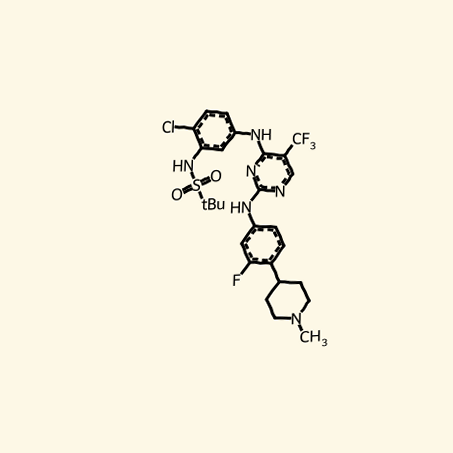 CN1CCC(c2ccc(Nc3ncc(C(F)(F)F)c(Nc4ccc(Cl)c(NS(=O)(=O)C(C)(C)C)c4)n3)cc2F)CC1